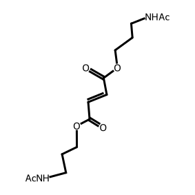 CC(=O)NCCCOC(=O)/C=C/C(=O)OCCCNC(C)=O